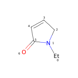 CCN1CC=CC1=O